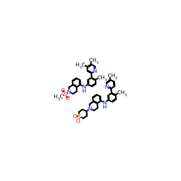 Cc1ccc(-c2cc(Nc3cccc4c3CCN(C3CCS(=O)(=O)CC3)C4)ccc2C)nc1.Cc1cnc(-c2cc(Nc3cccc4c3CCN(S(C)(=O)=O)C4)ccc2C)cc1C